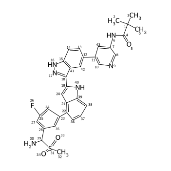 CC(C)(C)C(=O)Nc1cncc(-c2ccc3[nH]nc(-c4cc5c(-c6cc(F)cc(C(N)S(C)(=O)=O)c6)cccc5[nH]4)c3c2)c1